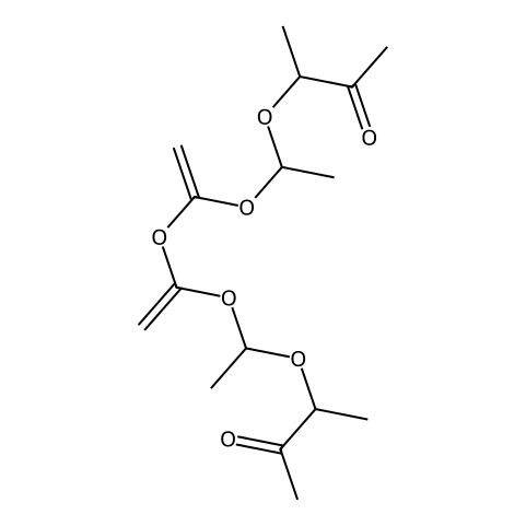 C=C(OC(=C)OC(C)OC(C)C(C)=O)OC(C)OC(C)C(C)=O